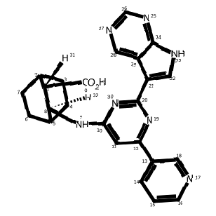 O=C(O)[C@H]1C2CCC(CC2)[C@@H]1Nc1cc(-c2cccnc2)nc(-c2c[nH]c3ncncc23)n1